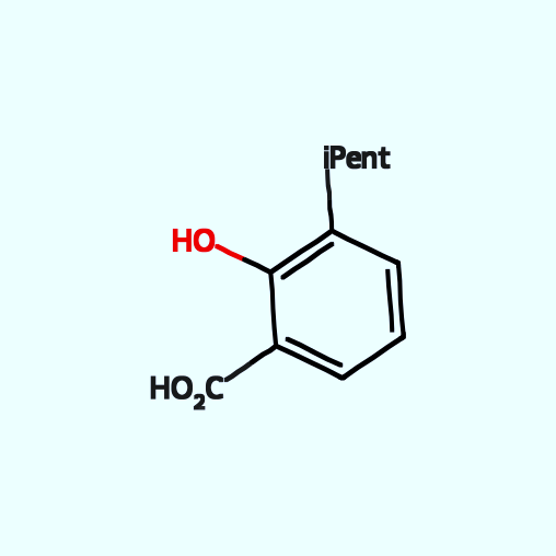 CCCC(C)c1cccc(C(=O)O)c1O